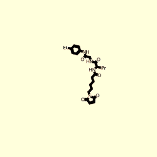 CCc1ccc(NC(=O)CNC(=O)C(NC(=O)CCCCCN2C(=O)C=CC2=O)C(C)C)cc1